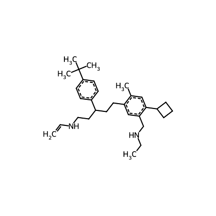 C=CNCCC(CCc1cc(CNCC)c(C2CCC2)cc1C)c1ccc(C(C)(C)C)cc1